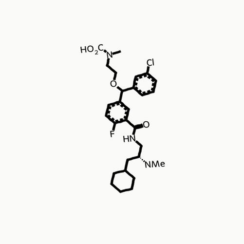 CN[C@@H](CNC(=O)c1cc(C(OCCN(C)C(=O)O)c2cccc(Cl)c2)ccc1F)CC1CCCCC1